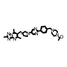 CC(=O)N1CCN(Cc2ccc(-c3ncc(N4CC[C@@H](Cc5c(C)nc6nc(C)nn6c5C)C4)cn3)cc2)CC1